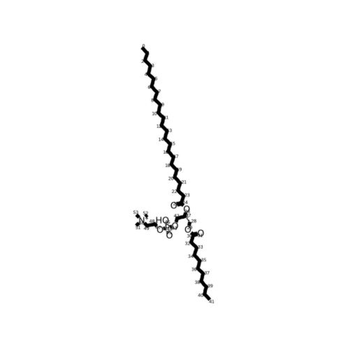 CCCCCCCCCCCCCCCCCCCCCCCCC(=O)O[C@H](COC(=O)CCCCCCCCCC)COP(=O)(O)OCC[N+](C)(C)C